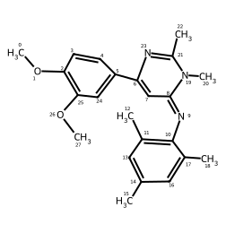 COc1ccc(-c2cc(=Nc3c(C)cc(C)cc3C)n(C)c(C)n2)cc1OC